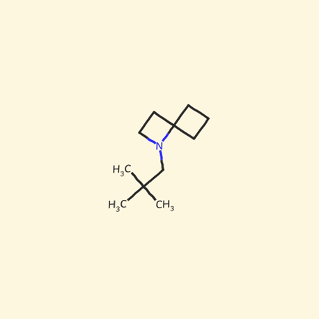 CC(C)(C)CN1CCC12CCC2